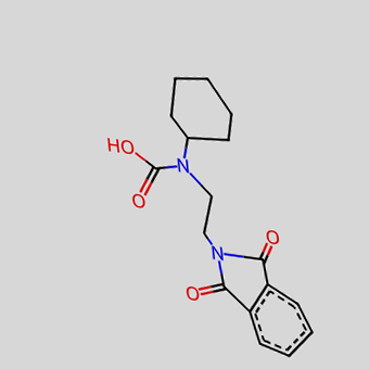 O=C1c2ccccc2C(=O)N1CCN(C(=O)O)C1CCCCC1